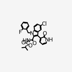 CC(C)S(=O)(=O)NC(=O)c1c(-c2ccc[nH]c2=O)c2cc(Cl)ccc2n1Cc1ccccc1F